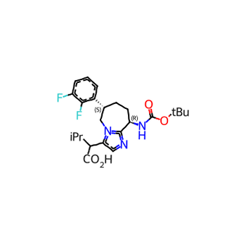 CC(C)C(C(=O)O)c1cnc2n1C[C@H](c1cccc(F)c1F)CC[C@H]2NC(=O)OC(C)(C)C